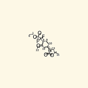 CCOC(=O)C(F)(F)c1ccc(N2CC(C)OC2=O)cc1OC